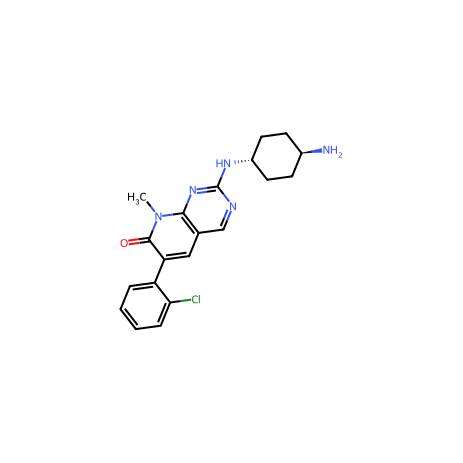 Cn1c(=O)c(-c2ccccc2Cl)cc2cnc(N[C@H]3CC[C@H](N)CC3)nc21